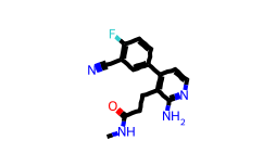 CNC(=O)CCc1c(-c2ccc(F)c(C#N)c2)ccnc1N